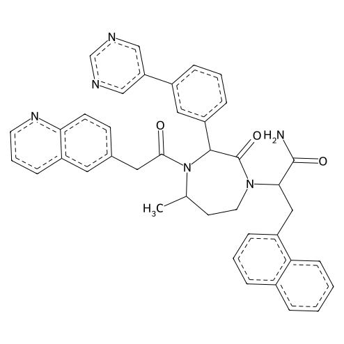 CC1CCN(C(Cc2cccc3ccccc23)C(N)=O)C(=O)C(c2cccc(-c3cncnc3)c2)N1C(=O)Cc1ccc2ncccc2c1